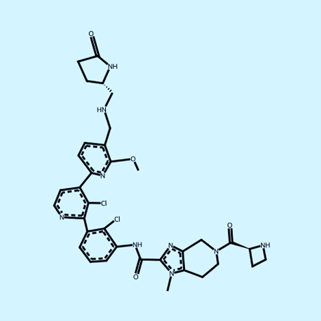 COc1nc(-c2ccnc(-c3cccc(NC(=O)c4nc5c(n4C)CCN(C(=O)[C@@H]4CCN4)C5)c3Cl)c2Cl)ccc1CNC[C@@H]1CCC(=O)N1